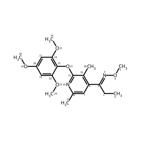 CCC(=NOC)c1cc(C)nc(Oc2c(OC)cc(OC)cc2OC)c1C